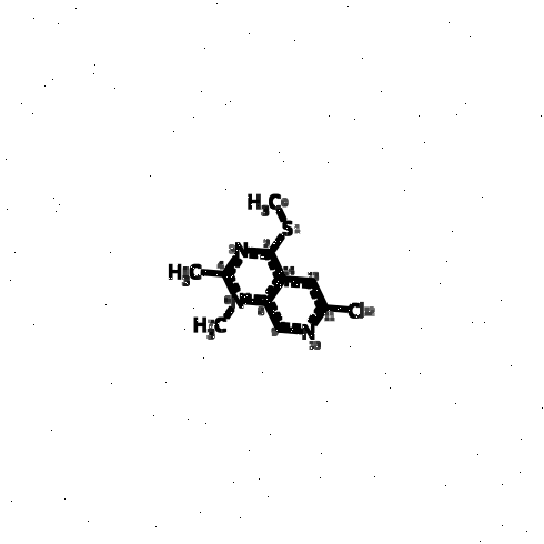 CSc1nc(C)[n+](C)c2cnc(Cl)cc12